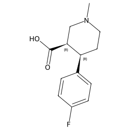 CN1CC[C@@H](c2ccc(F)cc2)[C@@H](C(=O)O)C1